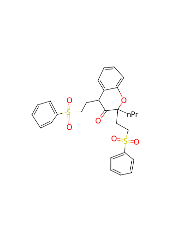 CCCC1(CCS(=O)(=O)c2ccccc2)Oc2ccccc2C(CCS(=O)(=O)c2ccccc2)C1=O